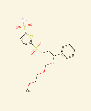 COCCOCOC(CCS(=O)(=O)c1ccc(S(N)(=O)=O)s1)c1ccccc1